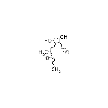 C=CCOC(=O)C=C(C)C=C[C@@H]1[C@H](CC=C=O)[C@@H](O)C[C@H]1O